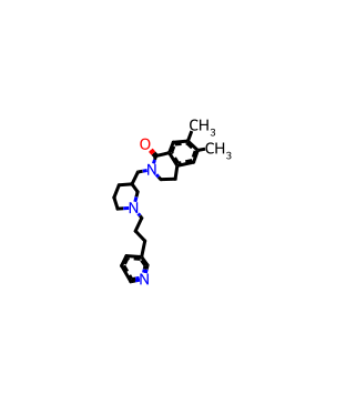 Cc1cc2c(cc1C)C(=O)N(CC1CCCN(CCCc3cccnc3)C1)CC2